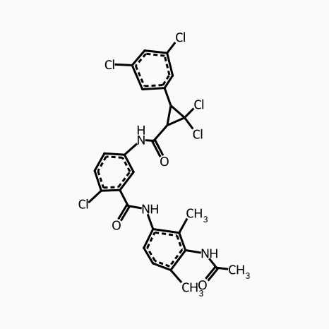 CC(=O)Nc1c(C)ccc(NC(=O)c2cc(NC(=O)C3C(c4cc(Cl)cc(Cl)c4)C3(Cl)Cl)ccc2Cl)c1C